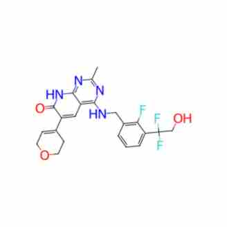 Cc1nc(NCc2cccc(C(F)(F)CO)c2F)c2cc(C3=CCOCC3)c(=O)[nH]c2n1